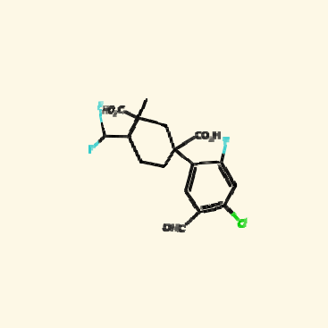 CC1(C(=O)O)CC(C(=O)O)(c2cc(C=O)c(Cl)cc2F)CCC1C(F)F